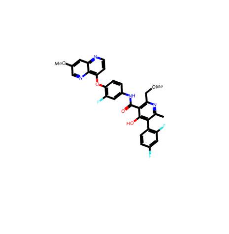 COCc1nc(C)c(-c2ccc(F)cc2F)c(O)c1C(=O)Nc1ccc(Oc2ccnc3cc(OC)cnc23)c(F)c1